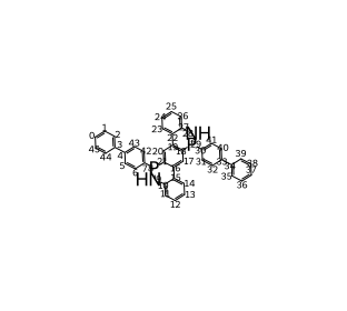 c1ccc(-c2ccc(-p3[nH]c4ccccc4c4cc5c(cc43)c3ccccc3[nH]p5-c3ccc(-c4ccccc4)cc3)cc2)cc1